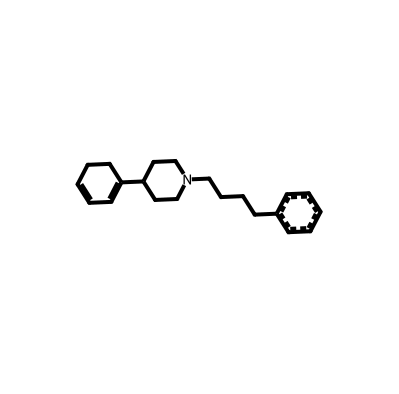 C1=CCCC(C2CCN(CCCCc3ccccc3)CC2)=C1